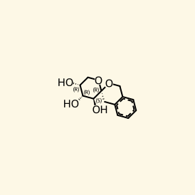 O[C@@H]1[C@H](O)CO[C@]2(Cc3ccccc3CO2)[C@H]1O